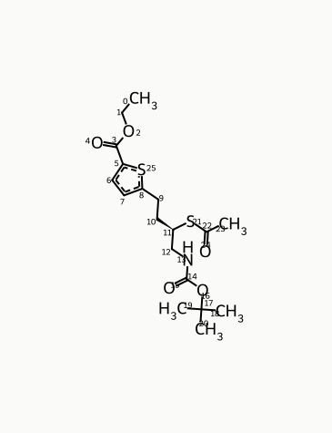 CCOC(=O)c1ccc(CC[C@H](CNC(=O)OC(C)(C)C)SC(C)=O)s1